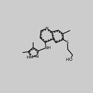 Cc1cc2nccc(Nc3n[nH]c(C)c3C)c2cc1SCCO